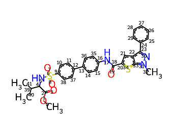 COC(=O)C(NS(=O)(=O)c1ccc(-c2ccc(NC(=O)c3cc4c(-c5ccccc5)nn(C)c4s3)cc2)cc1)C(C)C